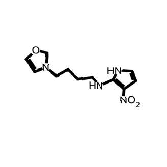 O=[N+]([O-])c1cc[nH]c1NCCCCN1C=COC1